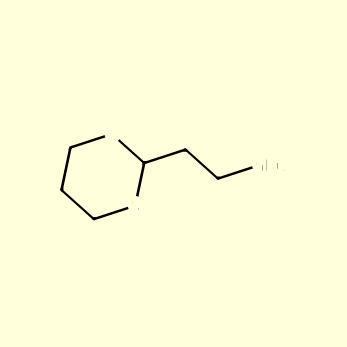 CCCCCCC1SCCCS1